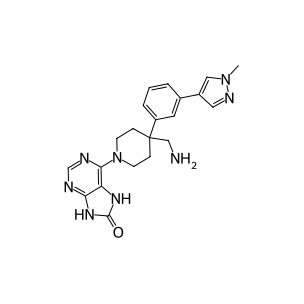 Cn1cc(-c2cccc(C3(CN)CCN(c4ncnc5[nH]c(=O)[nH]c45)CC3)c2)cn1